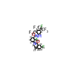 O=C(Nc1ccc(C(F)(C(F)(F)F)C(F)(F)F)cc1C(F)(F)F)c1cccc(N(CC2CC2)C(=O)c2cccc(F)c2)c1F